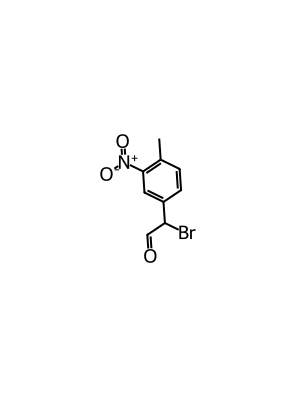 Cc1ccc(C(Br)C=O)cc1[N+](=O)[O-]